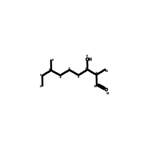 CCC(C)CCCC(O)C(C)C=O